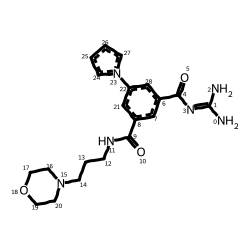 NC(N)=NC(=O)c1cc(C(=O)NCCCN2CCOCC2)cc(-n2cccc2)c1